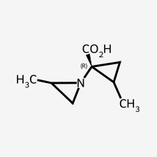 CC1CN1[C@]1(C(=O)O)CC1C